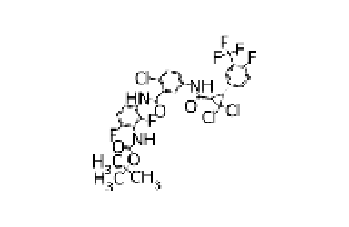 CC(C)(C)OC(=O)Nc1c(F)ccc(NC(=O)c2cc(NC(=O)[C@H]3[C@H](c4ccc(F)c(C(F)(F)F)c4)C3(Cl)Cl)ccc2Cl)c1F